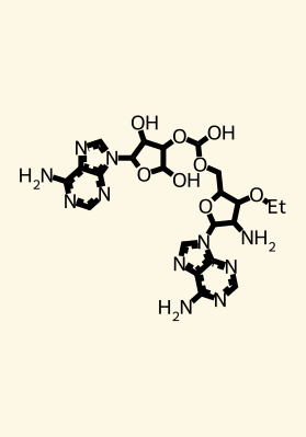 CCOC1C(COC(O)OC2C(O)OC(n3cnc4c(N)ncnc43)C2O)OC(n2cnc3c(N)ncnc32)C1N